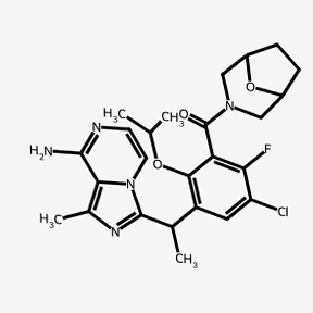 Cc1nc(C(C)c2cc(Cl)c(F)c(C(=O)N3CC4CCC(C3)O4)c2OC(C)C)n2ccnc(N)c12